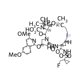 CC[C@@H]1O[C@H](C)CC/C=C\[C@@H]2C[C@@]2(C(=O)NS(=O)(=O)C2(CF)CC2)NC(=O)[C@@H]2C[C@@H](Oc3nc(OC)cc4cc(OC)ccc34)CN2C(=O)[C@H]1N(C(=O)O)C(C)(C)C(F)(F)F